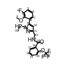 COc1c(F)cccc1-c1cc(CNC(=O)c2ccccc2OC(F)(F)F)nn1PI